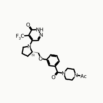 CC(=O)N1CCN(C(=O)c2cccc(OC[C@@H]3CCCN3c3cn[nH]c(=O)c3C(F)(F)F)c2)CC1